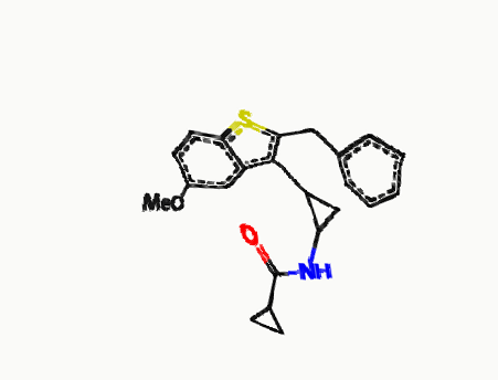 COc1ccc2sc(Cc3ccccc3)c(C3CC3NC(=O)C3CC3)c2c1